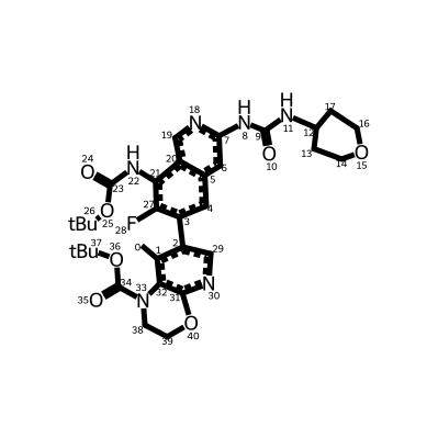 Cc1c(-c2cc3cc(NC(=O)NC4CCOCC4)ncc3c(NC(=O)OC(C)(C)C)c2F)cnc2c1N(C(=O)OC(C)(C)C)CCO2